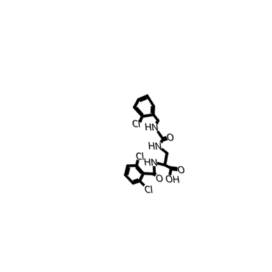 O=C(NCc1ccccc1Cl)NCC(NC(=O)c1c(Cl)cccc1Cl)C(=O)O